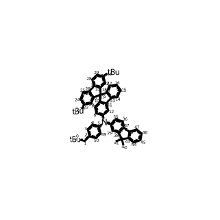 CC(C)(C)Cc1ccc(N(c2ccc3c(c2)-c2ccccc2C32c3cc(C(C)(C)C)ccc3-c3ccc(C(C)(C)C)cc32)c2ccc3c(c2)C(C)(C)c2ccccc2-3)cc1